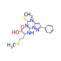 CSCCC(Nc1nc(SC)nc2cc(-c3ccccc3)nn12)C(=O)O